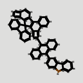 c1ccc2c(c1)-c1ccccc1C21c2c(ccc3ccccc23)-c2c1c1ccc(-c3c4ccccc4c(-c4ccc5sc6ccccc6c5c4)c4ccccc34)cc1c1ccccc21